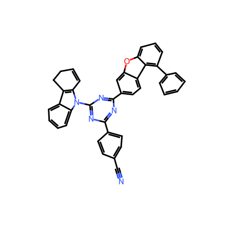 N#Cc1ccc(-c2nc(-c3ccc4c(c3)oc3cccc(-c5ccccc5)c34)nc(-n3c4c(c5ccccc53)CCC=C4)n2)cc1